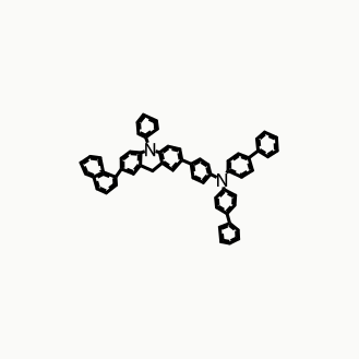 c1ccc(-c2ccc(N(c3ccc(-c4ccccc4)cc3)c3ccc(-c4ccc5c(c4)Cc4cc(-c6cccc7ccccc67)ccc4N5c4ccccc4)cc3)cc2)cc1